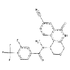 CN(C(=O)c1ccc(C(F)(F)F)c(F)c1)[C@H]1COCc2[nH]c(=O)c3cc(C#N)ccc3c21